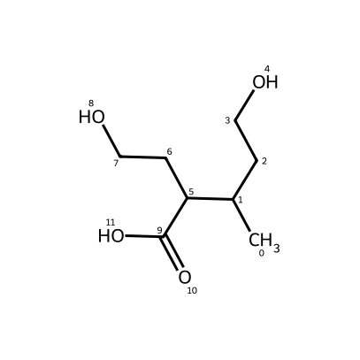 CC(CCO)C(CCO)C(=O)O